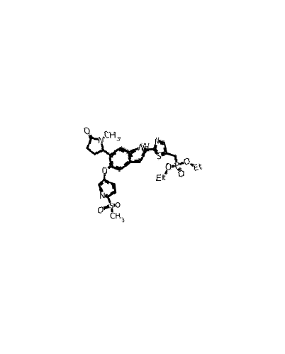 CCOP(=O)(Cc1cnc(-c2cc3cc(Oc4ccc(S(C)(=O)=O)nc4)c(C4CCC(=O)N4C)cc3[nH]2)s1)OCC